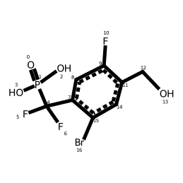 O=P(O)(O)C(F)(F)c1cc(F)c(CO)cc1Br